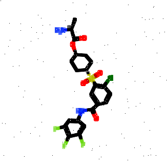 C[C@H](N)C(=O)O[C@H]1CC[C@H](S(=O)(=O)c2cc(C(=O)Nc3cc(F)c(F)c(F)c3)ccc2Cl)CC1